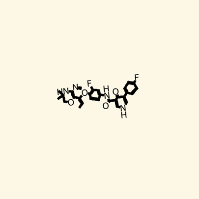 C=NC1=C(/C(=C\C)Oc2ccc(NC(=O)c3c[nH]cc(-c4ccc(F)cc4)c3=O)cc2F)OCC(C)(C)N1